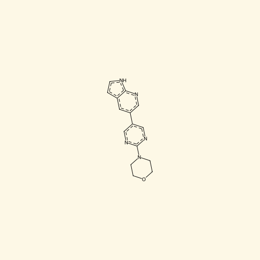 c1cc2cc(-c3cnc(N4CCOCC4)nc3)cnc2[nH]1